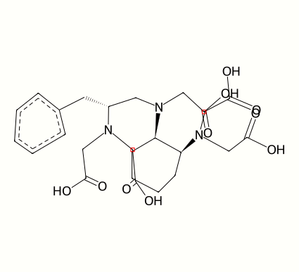 O=C(O)CN(CC(=O)O)[C@H](Cc1ccccc1)CN(CC(=O)O)[C@@H]1CCCC[C@@H]1N(CC(=O)O)CC(=O)O